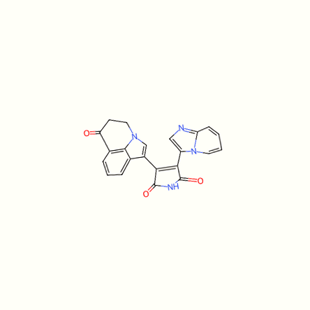 O=C1NC(=O)C(c2cnc3ccccn23)=C1c1cn2c3c(cccc13)C(=O)CC2